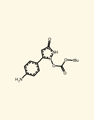 CC(C)(C)OC(=O)On1[nH]c(=O)cc1-c1ccc(N)cc1